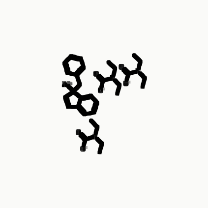 CCN(CC)C(=O)[O-].CCN(CC)C(=O)[O-].CCN(CC)C(=O)[O-].[Zr+3][C]1(Cc2ccccc2)C=Cc2ccccc21